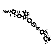 COc1cccc(Oc2ccc(-c3nn(C4CCC(N5CCN(C6CN(c7ccc8c(N9CCC(=O)NC9=O)nn(C)c8c7)C6)CC5)CC4)c4ncnc(N)c34)cc2)c1F